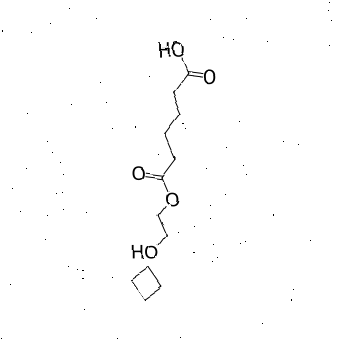 C1CCC1.O=C(O)CCCCC(=O)OCCO